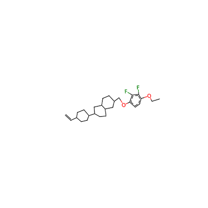 C=CC1CCC(C2CCC3CC(COc4ccc(OCC)c(F)c4F)CCC3C2)CC1